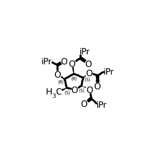 CC(C)C(=O)O[C@@H]1O[C@@H](C)[C@@H](OC(=O)C(C)C)[C@@H](OC(=O)C(C)C)[C@@H]1OC(=O)C(C)C